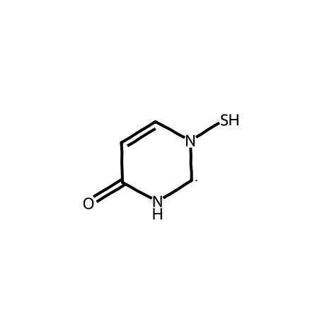 O=C1C=CN(S)[CH]N1